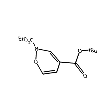 CCOC(=O)N1C=C(C(=O)OC(C)(C)C)C=CO1